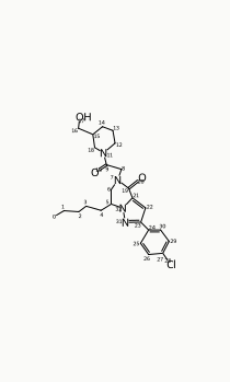 CCCCCC1CN(CC(=O)N2CCCC(CO)C2)C(=O)c2cc(-c3ccc(Cl)cc3)nn21